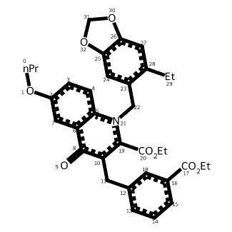 CCCOc1ccc2c(c1)c(=O)c(Cc1cccc(C(=O)OCC)c1)c(C(=O)OCC)n2Cc1cc2c(cc1CC)OCO2